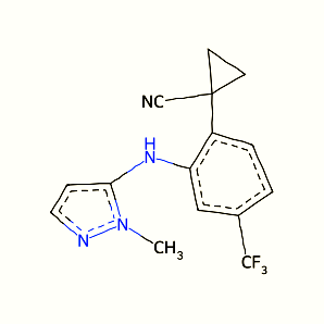 Cn1nccc1Nc1cc(C(F)(F)F)ccc1C1(C#N)CC1